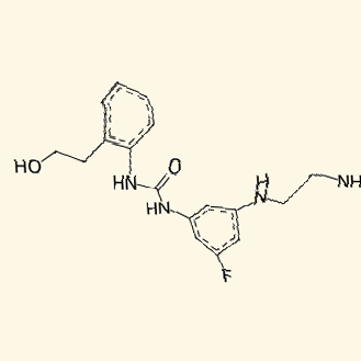 NCCNc1cc(F)cc(NC(=O)Nc2ccccc2CCO)c1